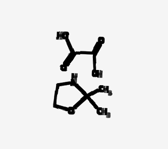 CC1(C)NCCO1.O=C(O)C(=O)O